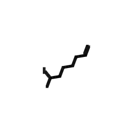 C=CCCCCC(C)I